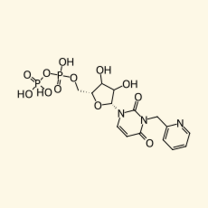 O=c1ccn([C@@H]2O[C@H](COP(=O)(O)OP(=O)(O)O)C(O)C2O)c(=O)n1Cc1ccccn1